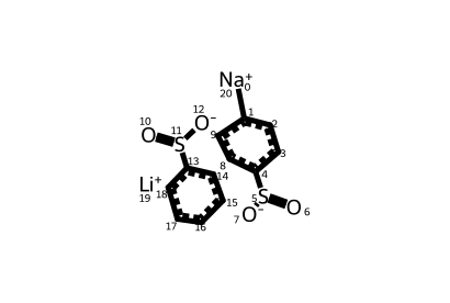 Cc1ccc(S(=O)[O-])cc1.O=S([O-])c1ccccc1.[Li+].[Na+]